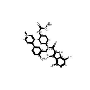 COc1ccc(-c2cc[n+](C)cc2)cc1CN(C(=O)c1sc2c(F)ccc(F)c2c1Cl)C1CCC(NC(=O)OC(C)(C)C)CC1